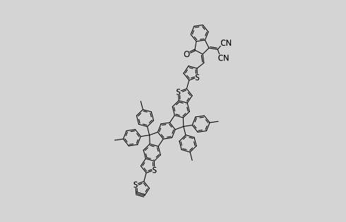 Cc1ccc(C2(c3ccc(C)cc3)c3cc4c(cc3-c3cc5sc(-c6cc#cs6)cc5cc32)C(c2ccc(C)cc2)(c2ccc(C)cc2)c2cc3cc(-c5ccc(/C=C6\C(=O)c7ccccc7C6=C(C#N)C#N)s5)sc3cc2-4)cc1